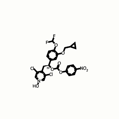 O=C(Oc1ccc([N+](=O)[O-])cc1)O[C@@H](Cc1c(Cl)c[n+](O)cc1Cl)c1ccc(OC(F)F)c(OCC2CC2)c1